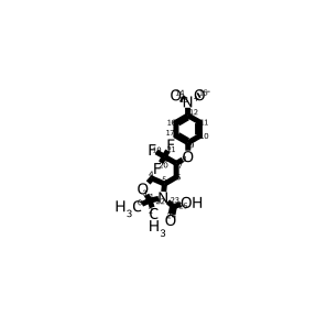 CC1(C)OCC(CC(Oc2ccc([N+](=O)[O-])cc2)C(F)(F)F)N1C(=O)O